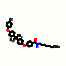 CNCCCCCCNC(=O)c1ccc(Oc2ccc(C(C)(C)c3ccc(Oc4ccc(C(C)=O)cc4)cc3)cc2)cc1